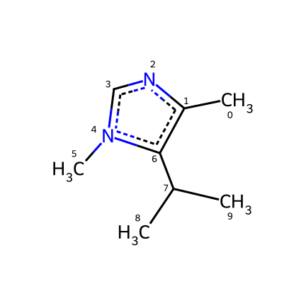 Cc1ncn(C)c1C(C)C